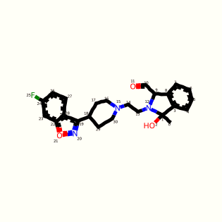 CC1(O)c2ccccc2C(C=O)N1CCN1CCC(c2noc3cc(F)ccc23)CC1